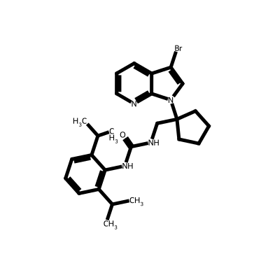 CC(C)c1cccc(C(C)C)c1NC(=O)NCC1(n2cc(Br)c3cccnc32)CCCC1